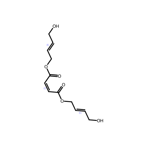 O=C(/C=C\C(=O)OC/C=C/CO)OC/C=C/CO